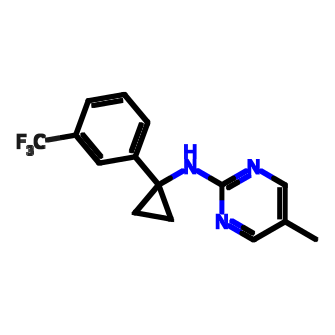 Cc1cnc(NC2(c3cccc(C(F)(F)F)c3)CC2)nc1